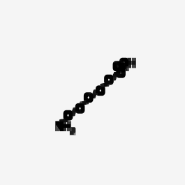 CP(=O)(O)OCCOCCOCCOCCOCCOCCN